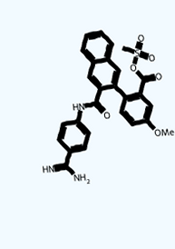 COc1ccc(-c2cc3ccccc3cc2C(=O)Nc2ccc(C(=N)N)cc2)c(C(=O)OS(C)(=O)=O)c1